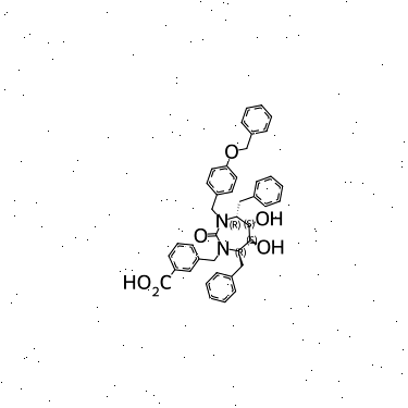 O=C(O)c1cccc(CN2C(=O)N(Cc3ccc(OCc4ccccc4)cc3)[C@H](Cc3ccccc3)[C@H](O)[C@@H](O)[C@H]2Cc2ccccc2)c1